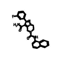 NC(=O)c1c(-c2cccc(F)c2)nn2c1CN(C(=O)Nc1cccc3ccccc13)CC2